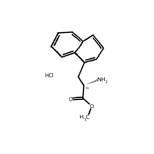 COC(=O)[C@@H](N)Cc1cccc2ccccc12.Cl